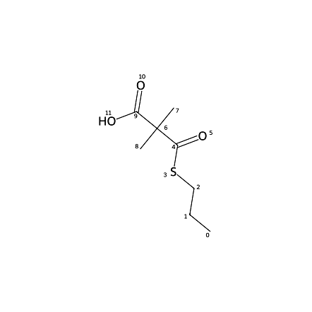 CCCSC(=O)C(C)(C)C(=O)O